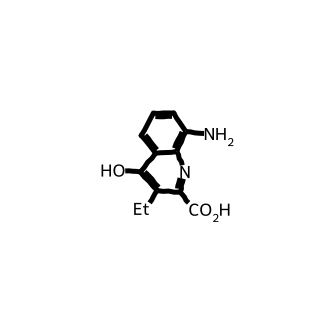 CCc1c(C(=O)O)nc2c(N)cccc2c1O